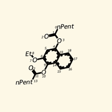 CCCCCC(=O)Oc1cc(OCC)c(OC(=O)CCCCC)c2ccccc12